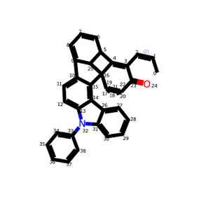 C/C=C\C1=C2C3C=CC=C4c5ccc6c(c5C2(c2ccccc2C1=O)C43)c1ccccc1n6-c1ccccc1